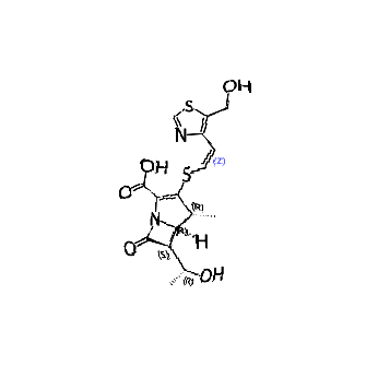 C[C@@H](O)[C@H]1C(=O)N2C(C(=O)O)=C(S/C=C\c3ncsc3CO)[C@H](C)[C@@H]12